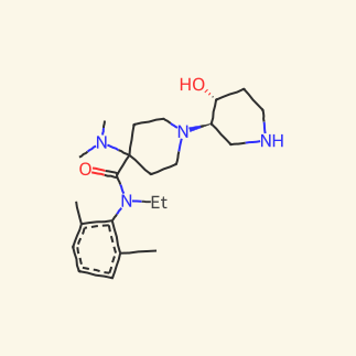 CCN(C(=O)C1(N(C)C)CCN([C@@H]2CNCC[C@H]2O)CC1)c1c(C)cccc1C